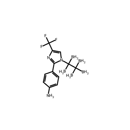 BC(B)(B)C(B)(B)n1cc(C(F)(F)F)nc1-c1ccc(N)cc1